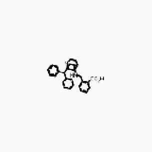 O=C(O)c1ccccc1CNC1C2CCN(CC2)C1C(c1ccccc1)c1ccccc1